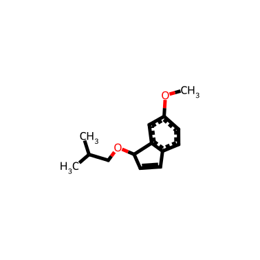 COc1ccc2c(c1)C(OCC(C)C)C=C2